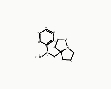 O=CN(CC12CCCN1CCC2)c1ccccc1